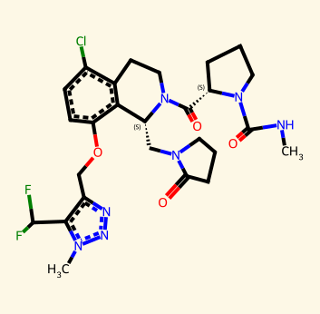 CNC(=O)N1CCC[C@H]1C(=O)N1CCc2c(Cl)ccc(OCc3nnn(C)c3C(F)F)c2[C@H]1CN1CCCC1=O